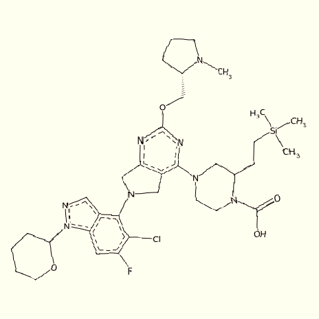 CN1CCC[C@H]1COc1nc2c(c(N3CCN(C(=O)O)C(CC[Si](C)(C)C)C3)n1)CN(c1c(Cl)c(F)cc3c1cnn3C1CCCCO1)C2